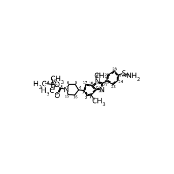 Cc1cc(C2CCN(C(=O)OC(C)(C)C)CC2)cc2c1nc(-c1ccc(SN)cc1)n2C